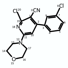 N#Cc1c(-c2cccc(Cl)c2)cc(N2CCOCC2)nc1Cl